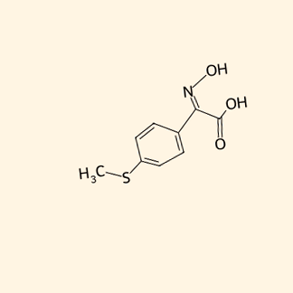 CSc1ccc(C(=NO)C(=O)O)cc1